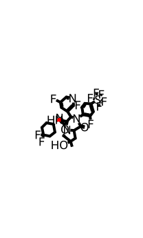 CC1(O)CC(C(=O)N(c2c(F)cc(S(F)(F)(F)(F)F)cc2F)C(C(=O)NC2CCC(F)(F)CC2)c2cncc(F)c2)N(C#N)C1